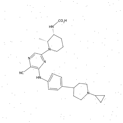 C[C@@H]1[C@H](NC(=O)O)CCCN1c1cnc(C#N)c(Nc2ccc(C3CCN(C4CC4)CC3)cc2)n1